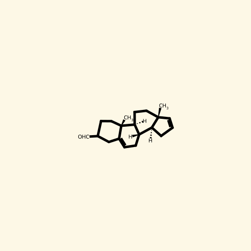 C[C@@]12C=CC[C@H]1[C@@H]1CC=C3CC(C=O)CC[C@]3(C)[C@H]1CC2